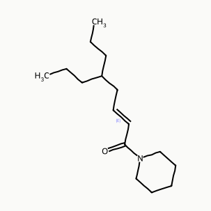 CCCC(C/C=C/C(=O)N1CCCCC1)CCC